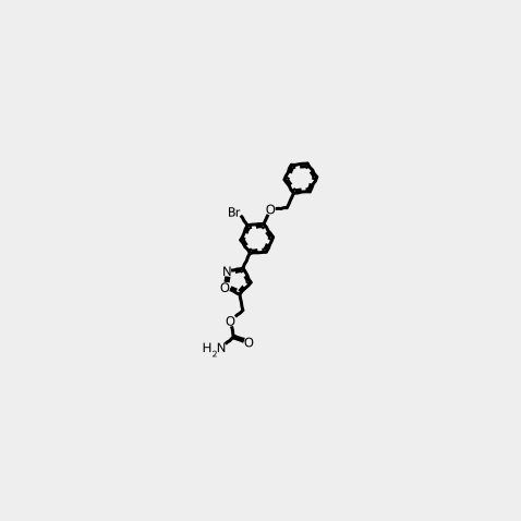 NC(=O)OCc1cc(-c2ccc(OCc3ccccc3)c(Br)c2)no1